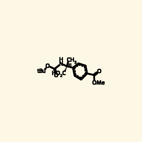 COC(=O)c1ccc([C@](C)(NC(=O)OC(C)(C)C)C(=O)O)cc1